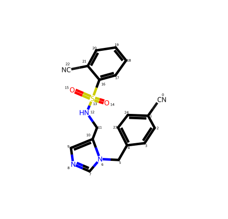 N#Cc1ccc(Cn2cncc2CNS(=O)(=O)c2ccccc2C#N)cc1